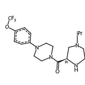 CC(C)N1CCN[C@@H](C(=O)N2CCN(c3ccc(OC(F)(F)F)cc3)CC2)C1